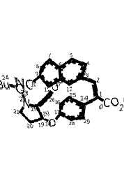 CCOC(=O)C(=Cc1ccc2ccc(C#N)cc2c1)c1ccc(O[C@H]2CCN(OC(C)(C)C)C2=C=O)cc1